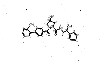 Cc1ccccc1-c1ccc(C(=O)N2CC(=N)C[C@H]2C(=O)NC[C@@H](O)c2ccccc2)cc1